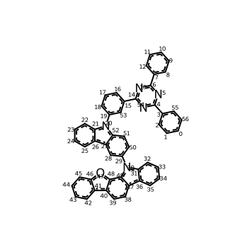 c1ccc(-c2nc(-c3ccccc3)nc(-c3cccc(-n4c5ccccc5c5cc(-n6c7ccccc7c7ccc8c9ccccc9oc8c76)ccc54)c3)n2)cc1